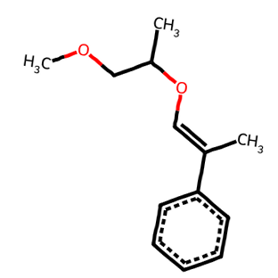 COCC(C)OC=C(C)c1ccccc1